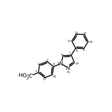 O=C(O)c1ccc(-n2cc(-c3ccccc3)cn2)cc1